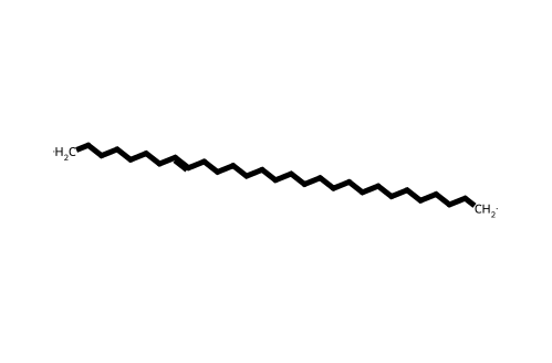 [CH2]CCCCCCC=CCCCCCCCCCCCCCCCCCCC[CH2]